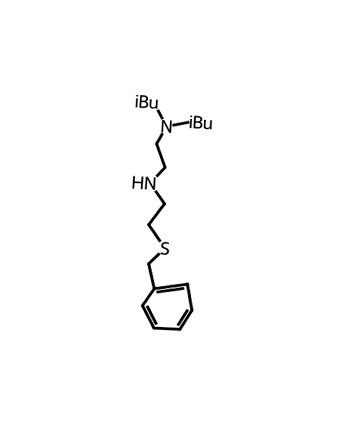 CCC(C)N(CCNCCSCc1ccccc1)C(C)CC